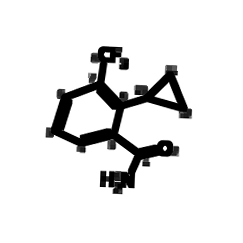 NC(=O)c1cccc(C(F)(F)F)c1C1CC1